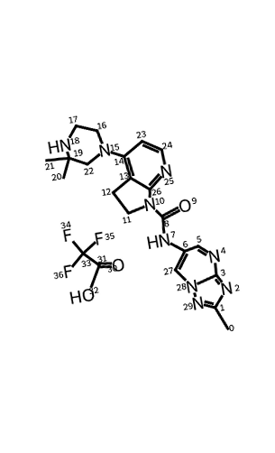 Cc1nc2ncc(NC(=O)N3CCc4c(N5CCNC(C)(C)C5)ccnc43)cn2n1.O=C(O)C(F)(F)F